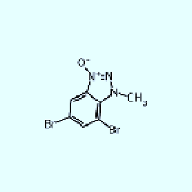 Cn1n[n+]([O-])c2cc(Br)cc(Br)c21